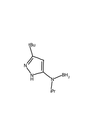 BN(c1cc(C(C)(C)C)n[nH]1)C(C)C